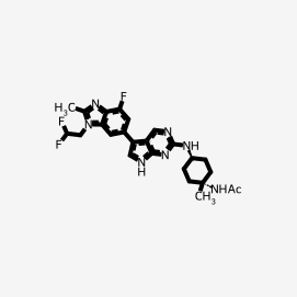 CC(=O)N[C@]1(C)CC[C@@H](Nc2ncc3c(-c4cc(F)c5nc(C)n(CC(F)F)c5c4)c[nH]c3n2)CC1